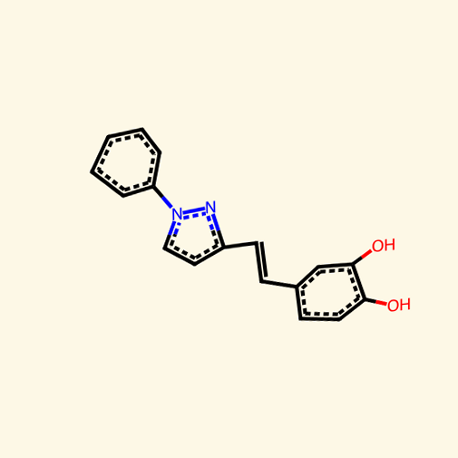 Oc1ccc(/C=C/c2ccn(-c3ccccc3)n2)cc1O